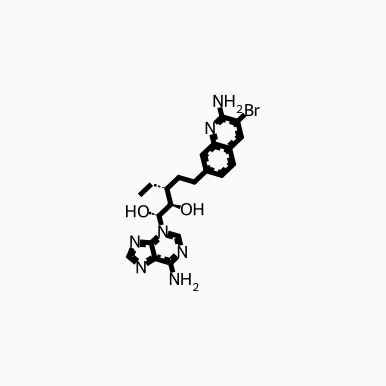 CC[C@H](CCc1ccc2cc(Br)c(N)nc2c1)[C@@H](O)[C@@H](O)n1cnc(N)c2ncnc1-2